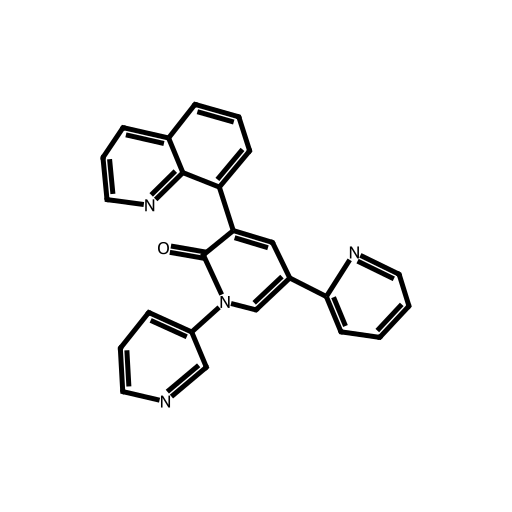 O=c1c(-c2cccc3cccnc23)cc(-c2ccccn2)cn1-c1cccnc1